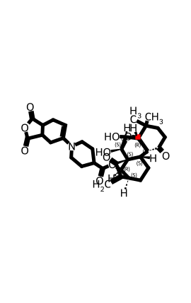 C=C1C(=O)[C@]23[C@H](OC(=O)C4CCN(C5=CCC6C(=O)OC(=O)C6C5)CC4)[C@H]1CC[C@H]2[C@@]12CO[C@]3(O)[C@@H](O)[C@@H]1C(C)(C)CCC2=O